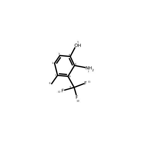 Cc1ccc(O)c(N)c1C(F)(F)F